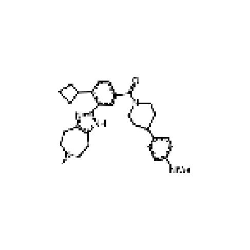 CNc1ccc(C2CCN(C(=O)c3ccc(C4CCC4)c(-c4nc5c([nH]4)CCN(C)CC5)c3)CC2)cc1